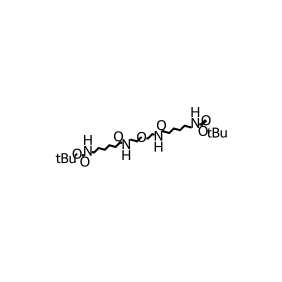 CC(C)(C)OC(=O)NCCCCCC(=O)NCCOCCNC(=O)CCCCCNC(=O)OC(C)(C)C